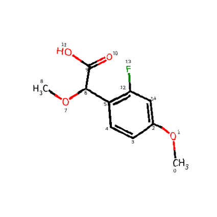 COc1ccc(C(OC)C(=O)O)c(F)c1